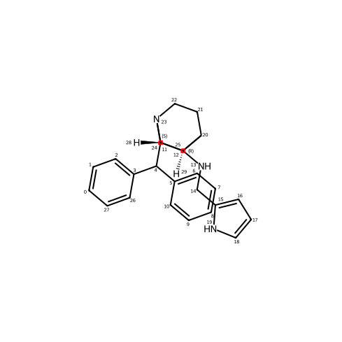 c1ccc(C(c2ccccc2)[C@H]2[C@H](NCc3ccc[nH]3)C3CCN2CC3)cc1